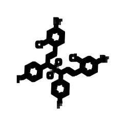 O=S(=O)(C(C=Cc1ccc(Br)cc1Cl)c1ccc(F)cc1)C(C=Cc1ccc(Br)cc1Cl)c1ccc(F)cc1